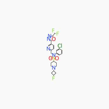 O=S(=O)(C1CCN(C2CC(F)C2)CC1)N(Cc1ccc(-c2nnc(C(F)F)o2)cn1)c1cccc(Cl)c1